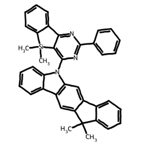 CC1(C)c2ccccc2-c2cc3c(cc21)c1ccccc1n3-c1nc(-c2ccccc2)nc2c1[Si](C)(C)c1ccccc1-2